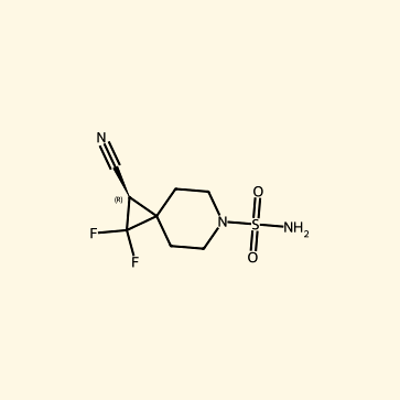 N#C[C@@H]1C(F)(F)C12CCN(S(N)(=O)=O)CC2